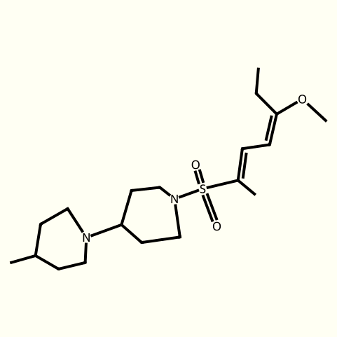 CC/C(=C\C=C(/C)S(=O)(=O)N1CCC(N2CCC(C)CC2)CC1)OC